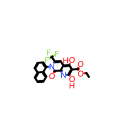 CCOC(=O)c1c(O)nc2c(=O)n(-c3cccc4ccccc34)c(C(F)(F)F)cc2c1O